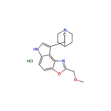 COCc1nc2c(ccc3[nH]cc(C4CN5CCC4CC5)c32)o1.Cl